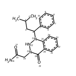 CC(C)CC(c1ccccc1)N1NN(CC(N)=O)C(=O)c2ccccc21